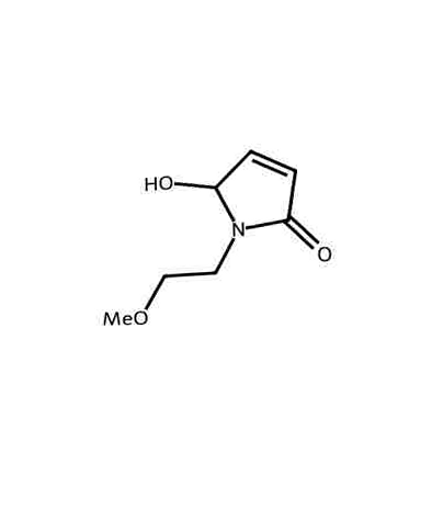 COCCN1C(=O)C=CC1O